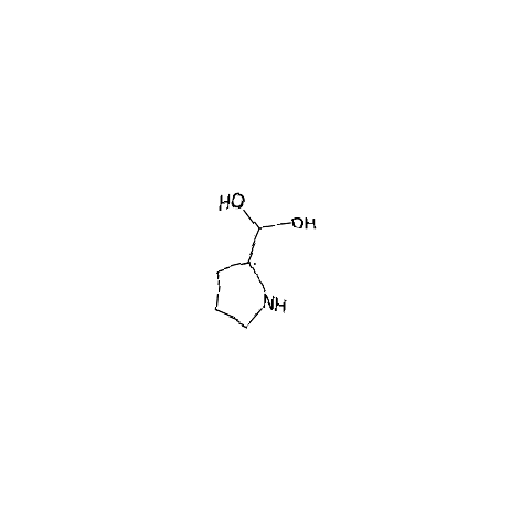 OC(O)[C]1CCCN1